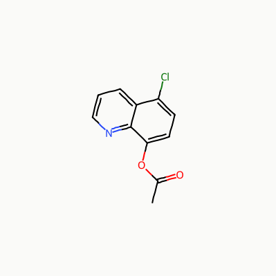 CC(=O)Oc1ccc(Cl)c2cccnc12